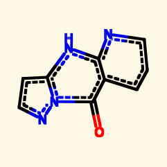 O=c1c2cccnc2[nH]c2ccnn12